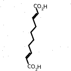 O=C(O)C=CCCCCC=CC(=O)O